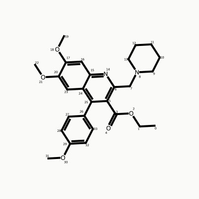 CCOC(=O)c1c(CN2CCCCC2)nc2cc(OC)c(OC)cc2c1-c1ccc(OC)cc1